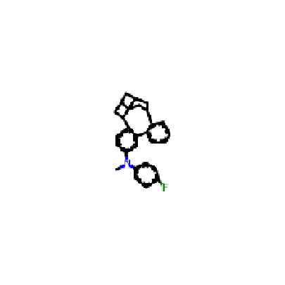 CN(c1ccc(F)cc1)c1ccc2c(c1)-c1ccccc1C1CC3CC4CC2C34C1